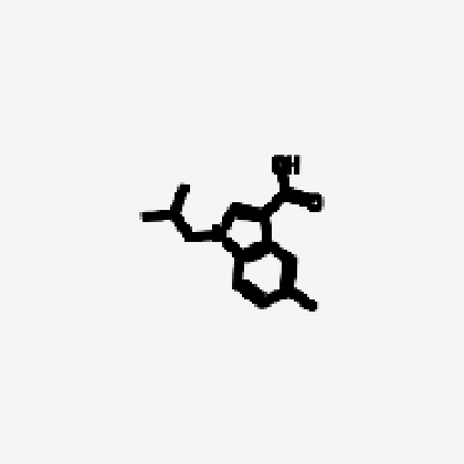 Cc1ccc2c(c1)c(C(=O)O)cn2CC(C)C